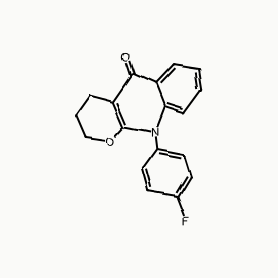 O=c1c2c(n(-c3ccc(F)cc3)c3ccccc13)OCCC2